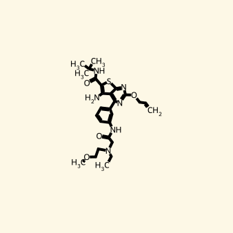 C=CCOc1nc(-c2cccc(NC(=O)CN(CC)CCOC)c2)c2c(N)c(C(=O)NC(C)(C)C)sc2n1